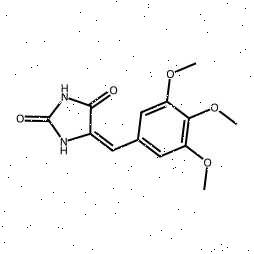 COc1cc(C=C2NC(=O)NC2=O)cc(OC)c1OC